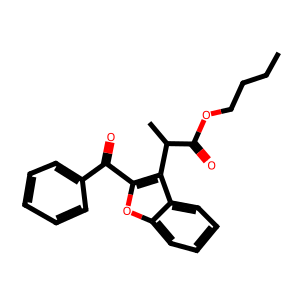 CCCCOC(=O)C(C)c1c(C(=O)c2ccccc2)oc2ccccc12